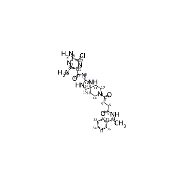 C[C@@H](NC(=O)CCC(=O)N1CCC2(CC1)CN/C(=N\C(=O)c1nc(Cl)c(N)nc1N)N2)c1ccccc1